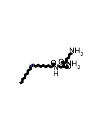 CCCCCCCC/C=C\CCCCCCCC(=O)NCCC([C]=O)C(=O)[C@@H](N)CCCCN